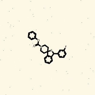 O=C(Oc1ccccc1)N1CCC2(CC1)SC(c1cccc(F)c1)c1ccccc12